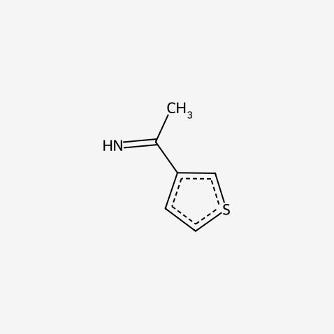 CC(=N)c1ccsc1